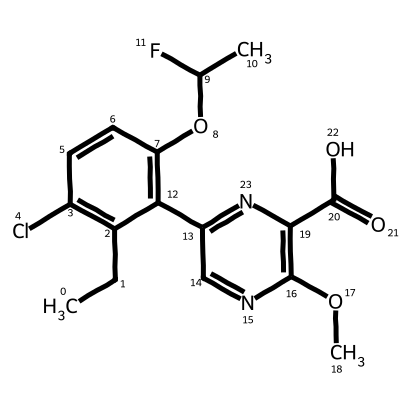 CCc1c(Cl)ccc(OC(C)F)c1-c1cnc(OC)c(C(=O)O)n1